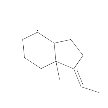 CC=C1CCC2[CH]CCCC12C